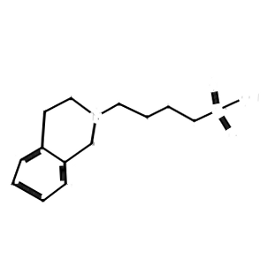 O=S(=O)(O)CCCCN1CCc2ccccc2C1